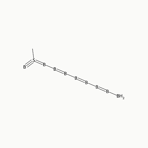 B#S(C)=BB=BB=BB=BB